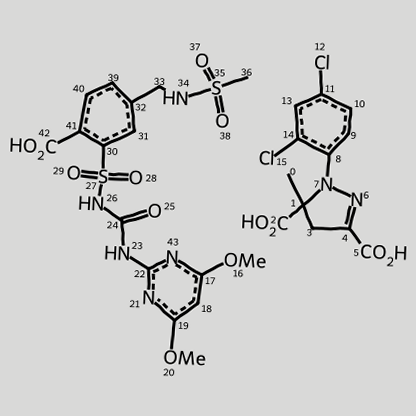 CC1(C(=O)O)CC(C(=O)O)=NN1c1ccc(Cl)cc1Cl.COc1cc(OC)nc(NC(=O)NS(=O)(=O)c2cc(CNS(C)(=O)=O)ccc2C(=O)O)n1